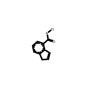 [CH2]C[N]C(=O)c1cccc2c1C=CC2